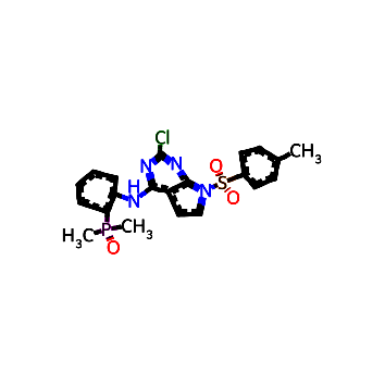 Cc1ccc(S(=O)(=O)n2ccc3c(Nc4ccccc4P(C)(C)=O)nc(Cl)nc32)cc1